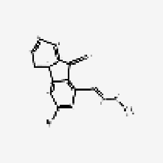 CON=Cc1cc(Br)cc2c1C(=O)c1ccccc1-2